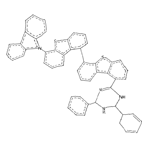 C1=CCC(C2NC(c3cccc4sc5c(-c6cccc7sc8c(-n9c%10ccccc%10c%10ccccc%109)cccc8c67)cccc5c34)=NC(c3ccccc3)N2)C=C1